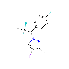 Cc1nn(C(c2ccc(F)cc2)C(C)(F)F)cc1I